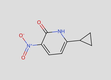 O=c1[nH]c(C2CC2)ccc1[N+](=O)[O-]